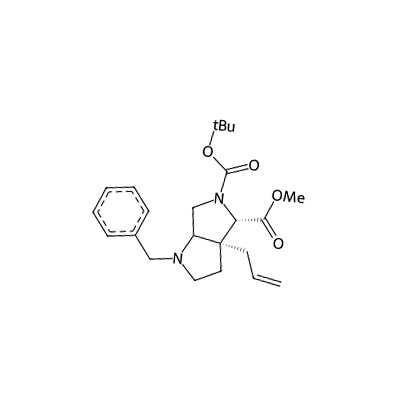 C=CC[C@]12CCN(Cc3ccccc3)C1CN(C(=O)OC(C)(C)C)[C@@H]2C(=O)OC